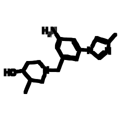 Cc1cn(-c2cc(N)cc(CN3CCC(O)C(C)C3)c2)cn1